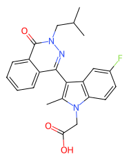 Cc1c(-c2nn(CC(C)C)c(=O)c3ccccc23)c2cc(F)ccc2n1CC(=O)O